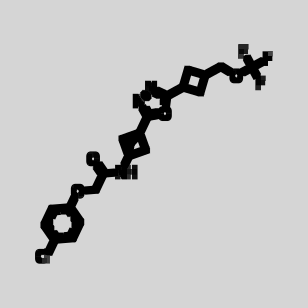 O=C(COc1ccc(Cl)cc1)NC12CC(c3nnc(C4CC(COC(F)(F)F)C4)o3)(C1)C2